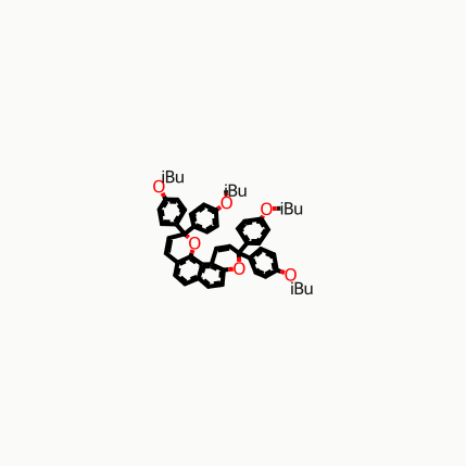 CCC(C)Oc1ccc(C2(c3ccc(OC(C)CC)cc3)C=Cc3c(ccc4ccc5c(c34)OC(c3ccc(OC(C)CC)cc3)(c3ccc(OC(C)CC)cc3)C=C5)O2)cc1